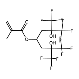 C=C(C)C(=O)OC(CC(O)(C(F)(F)F)C(F)(F)F)CC(O)(C(F)(F)F)C(F)(F)F